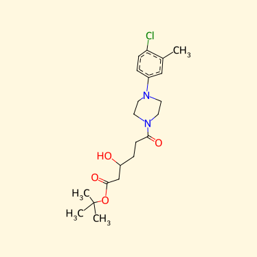 Cc1cc(N2CCN(C(=O)CCC(O)CC(=O)OC(C)(C)C)CC2)ccc1Cl